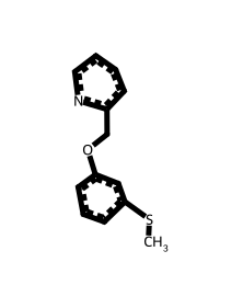 CSc1cccc(OCc2ccccn2)c1